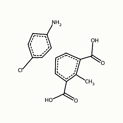 Cc1c(C(=O)O)cccc1C(=O)O.Nc1ccc(Cl)cc1